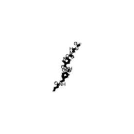 CCCC(=O)NCCc1ccc(S(=O)(=O)NC(=O)c2ccc(OC(=O)NCCOC(C)=O)nc2)cc1